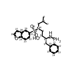 CC(C)CN(C[C@@H](O)[C@H](Cc1ccccc1)NP)S(=O)(=O)c1ccc2occc2c1